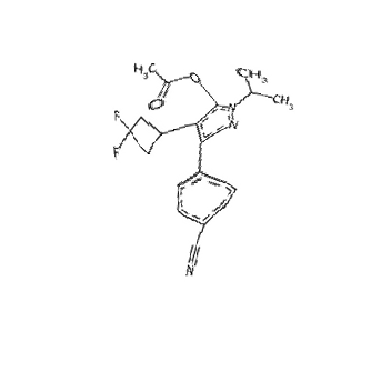 CC(=O)Oc1c(C2CC(F)(F)C2)c(-c2ccc(C#N)cc2)nn1C(C)C